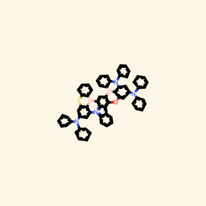 c1ccc(N(c2ccccc2)c2cc3c4c(c2)N(c2ccccc2)c2ccccc2B4c2cc4c5c(c2O3)c2ccccc2n5-c2cc(N(c3ccccc3)c3ccccc3)cc3c2B4c2ccccc2S3)cc1